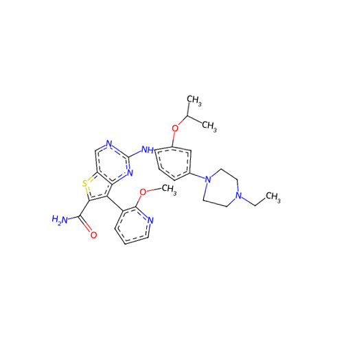 CCN1CCN(c2ccc(Nc3ncc4sc(C(N)=O)c(-c5cccnc5OC)c4n3)c(OC(C)C)c2)CC1